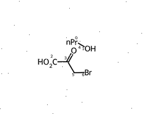 CCCO.O=C(O)C(=O)CBr